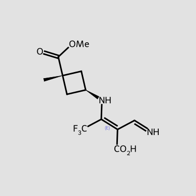 COC(=O)[C@]1(C)C[C@@H](N/C(=C(\C=N)C(=O)O)C(F)(F)F)C1